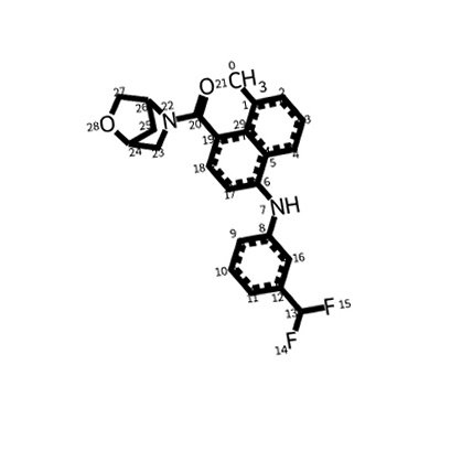 Cc1cccc2c(Nc3cccc(C(F)F)c3)ccc(C(=O)N3CC4CC3CO4)c12